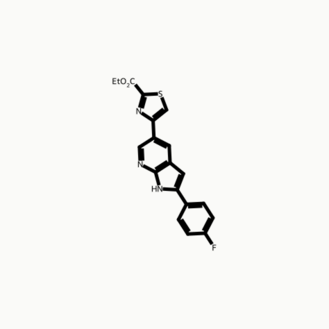 CCOC(=O)c1nc(-c2cnc3[nH]c(-c4ccc(F)cc4)cc3c2)cs1